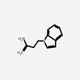 C=C(N)CCn1ccc2ccccc21